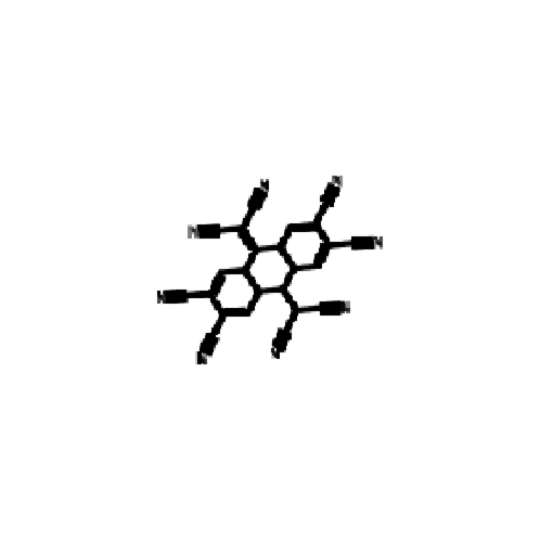 N#CC1=CC2C(=C(C#N)C#N)C3C=C(C#N)C(C#N)=CC3C(C(C#N)C#N)C2C=C1C#N